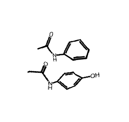 CC(=O)Nc1ccc(O)cc1.CC(=O)Nc1ccccc1